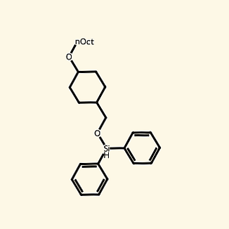 CCCCCCCCOC1CCC(CO[SiH](c2ccccc2)c2ccccc2)CC1